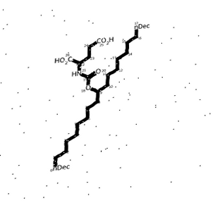 CCCCCCCCCCCCCCCCCCC(CCCCCCCCCCCCCCCCC)OC(=O)NC(CCC(=O)O)C(=O)O